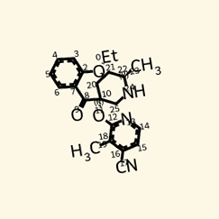 CCOc1ccccc1C(=O)[C@@]1(Oc2nccc(C#N)c2C)CC[C@@H](C)NC1